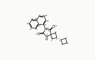 O=C1N[C@]2(C[C@@H](C3CCC3)C2)C(=O)N1c1cncc2ccccc12